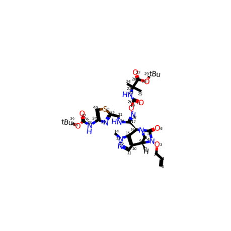 C=CCON1C(=O)N2C[C@H]1c1cnn(C)c1[C@H]2/C(=N/OC(=O)NC(C)(C)C(=O)OC(C)(C)C)NCc1nc(NC(=O)OC(C)(C)C)cs1